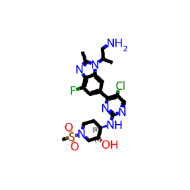 Cc1nc2c(F)cc(-c3nc(N[C@@H]4CCN(S(C)(=O)=O)C[C@H]4O)ncc3Cl)cc2n1C(C)CN